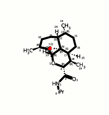 CC(C)NC(=O)[C@@H]1O[C@@H]2O[C@@]3(C)CC[C@H]4[C@H](C)CC[C@@H]([C@H]1C)[C@@]24OO3